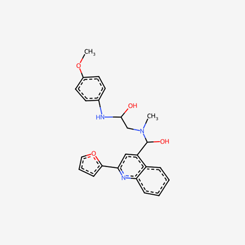 COc1ccc(NC(O)CN(C)C(O)c2cc(-c3ccco3)nc3ccccc23)cc1